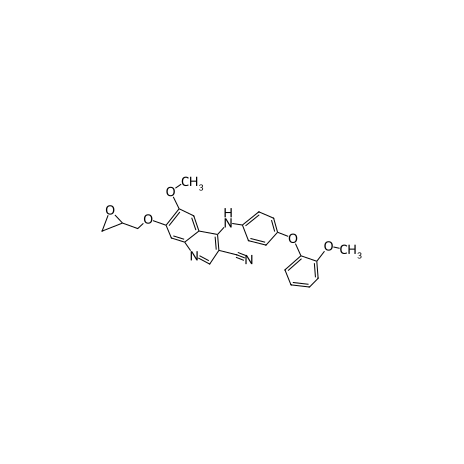 COc1cc2c(Nc3ccc(Oc4ccccc4OC)cc3)c(C#N)cnc2cc1OCC1CO1